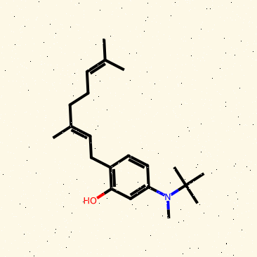 CC(C)=CCC/C(C)=C/Cc1ccc(N(C)C(C)(C)C)cc1O